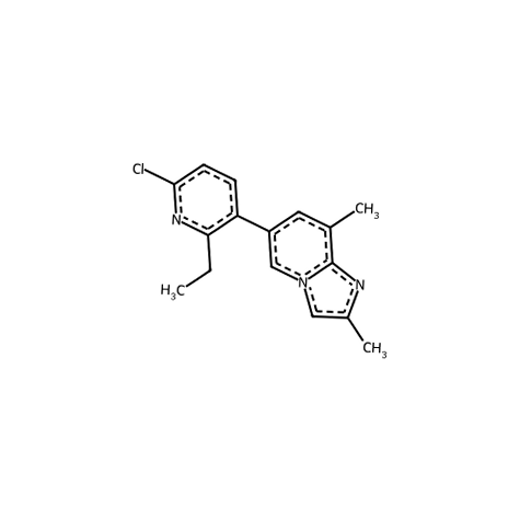 CCc1nc(Cl)ccc1-c1cc(C)c2nc(C)cn2c1